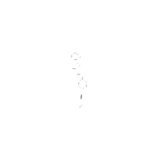 CC(C)(C)c1csc(NC(=O)c2cc3cc(C#C[Si](C)(C)C)ccc3s2)n1